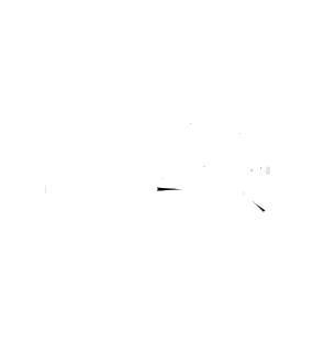 Brc1ccc([C@@H]2C[C@H]3NC[C@@H]32)cc1